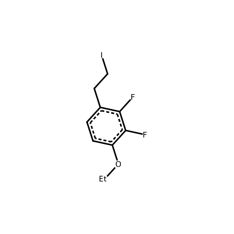 CCOc1ccc(CCI)c(F)c1F